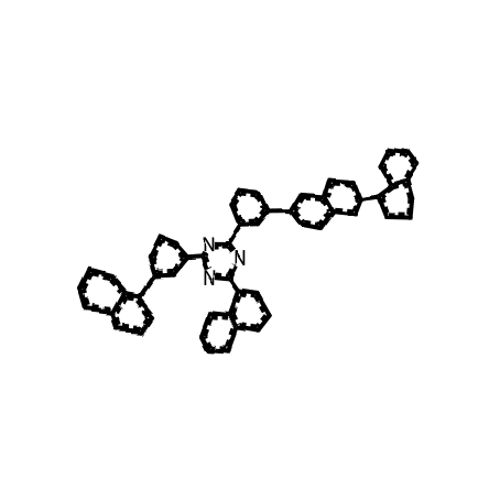 c1cc(-c2ccc3cc(-c4cccc5ccccc45)ccc3c2)cc(-c2nc(-c3cccc(-c4cccc5ccccc45)c3)nc(-c3cccc4ccccc34)n2)c1